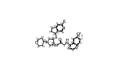 O=C(CNc1ncnc2ccc(C(F)(F)F)cc12)NC1CN(C2CCOCC2)C[C@@H]1SC1CCc2cc(F)ncc21